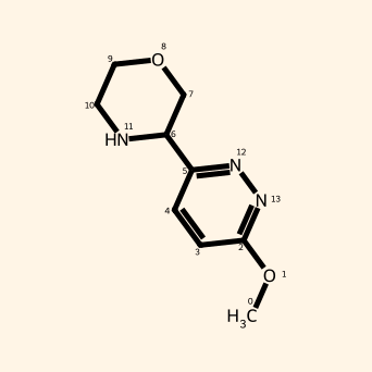 COc1ccc(C2COCCN2)nn1